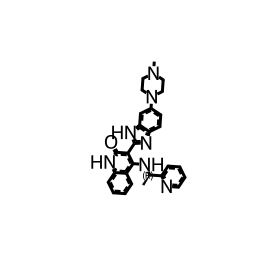 C[C@@H](Nc1c(-c2nc3ccc(N4CCN(C)CC4)cc3[nH]2)c(=O)[nH]c2ccccc12)c1ccccn1